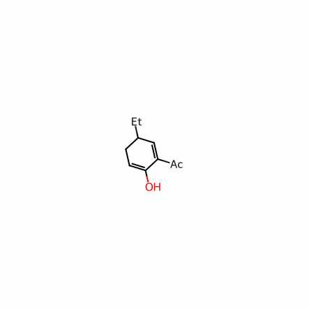 CCC1C=C(C(C)=O)C(O)=CC1